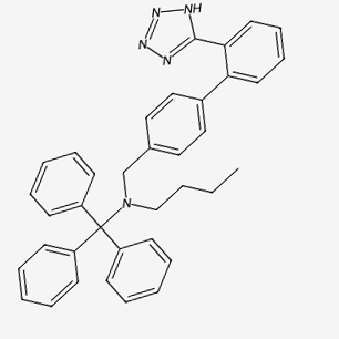 CCCCN(Cc1ccc(-c2ccccc2-c2nnn[nH]2)cc1)C(c1ccccc1)(c1ccccc1)c1ccccc1